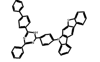 c1ccc(C2=NC(c3ccc(-n4c5ccccc5c5cc6c(cc54)sc4ccccc46)cc3)NC(c3ccc(-c4ccccc4)cc3)=N2)cc1